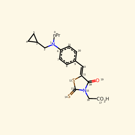 CCCN(CC1CC1)c1ccc(/C=C2\SC(=S)N(CC(=O)O)C2=O)cc1